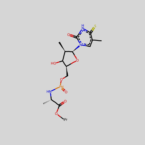 Cc1cn([C@H]2O[C@@H](CO[PH](=O)N[C@@H](C)C(=O)OC(C)C)C(O)[C@H]2C)c(=O)[nH]c1=S